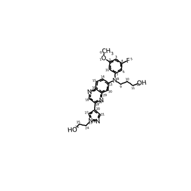 COc1cc(F)cc(N(CCCO)c2ccc3ncc(-c4cnn(CCO)c4)nc3c2)c1